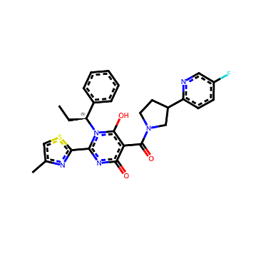 CC[C@@H](c1ccccc1)n1c(-c2nc(C)cs2)nc(=O)c(C(=O)N2CCC(c3ccc(F)cn3)C2)c1O